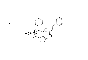 CC1=C2C(CC1)C1(C)OC(C3CCCCC3)(CC1O)C2OC(=O)/C=C/c1ccccc1